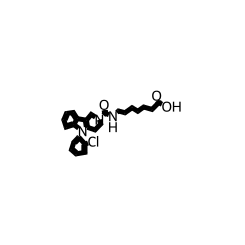 O=C(O)CCCCCCNC(=O)N1CCc2c(c3ccccc3n2-c2ccccc2Cl)C1